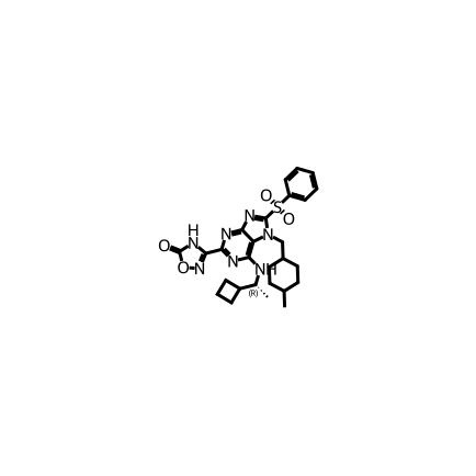 CC1CCC(Cn2c(S(=O)(=O)c3ccccc3)nc3nc(-c4noc(=O)[nH]4)nc(N[C@H](C)C4CCC4)c32)CC1